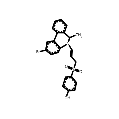 CC1c2ccccc2-c2cc(Br)ccc2N1C=CCS(=O)(=O)c1ccc(O)cc1